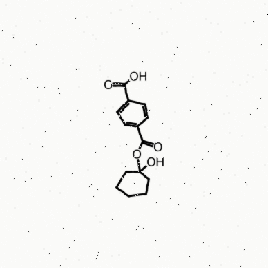 O=C(O)c1ccc(C(=O)OC2(O)CCCCC2)cc1